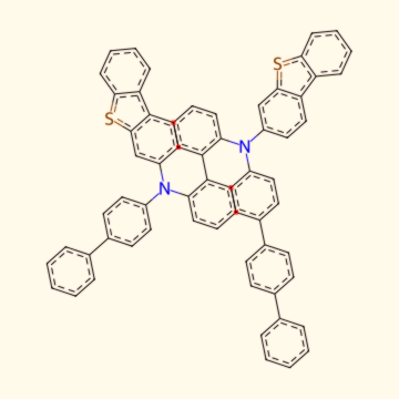 c1ccc(-c2ccc(-c3ccc(N(c4ccc5c(c4)sc4ccccc45)c4ccccc4-c4ccccc4N(c4ccc(-c5ccccc5)cc4)c4ccc5c(c4)sc4ccccc45)cc3)cc2)cc1